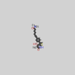 CCN(CC)C(=O)CCCCC#Cc1ccc(-c2csc3[nH]c(=O)c(C#N)c(O)c23)cc1